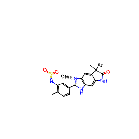 COc1c(-c2nc3cc4c(cc3[nH]2)NC(=O)C4(C)C(C)=O)ccc(C)c1N=S(=O)=O